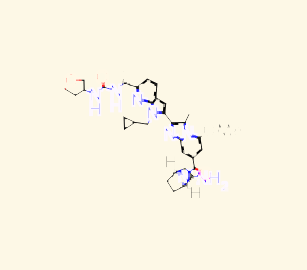 COc1cc(C(=O)N2[C@H]3CC[C@@H]2[C@H](N)C3)cc2nc(-c3cc4ccc([C@@H](C)NC(=O)NC5CCOC5)nc4n3CC3CC3)c(C)n12